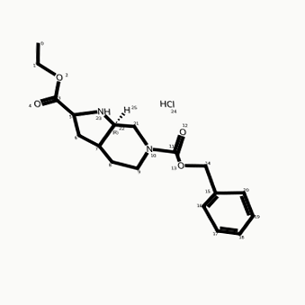 CCOC(=O)C1CC2CCN(C(=O)OCc3ccccc3)C[C@@H]2N1.Cl